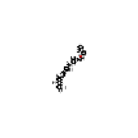 O=C1CC[C@H](Nc2ccc(N3CCN([C@H]4CC[C@H](C(=O)NC5CCC(Nc6ncc(F)c(-c7cccc(-n8ccccc8=O)c7)n6)CC5)CC4)CC3)c(F)c2)C(=O)N1